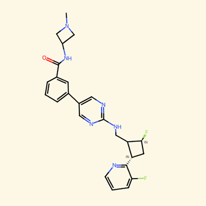 CN1CC(NC(=O)c2cccc(-c3cnc(NCC4[C@@H](c5ncccc5F)C[C@@H]4F)nc3)c2)C1